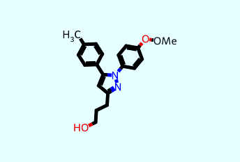 COOc1ccc(-n2nc(CCCO)cc2-c2ccc(C)cc2)cc1